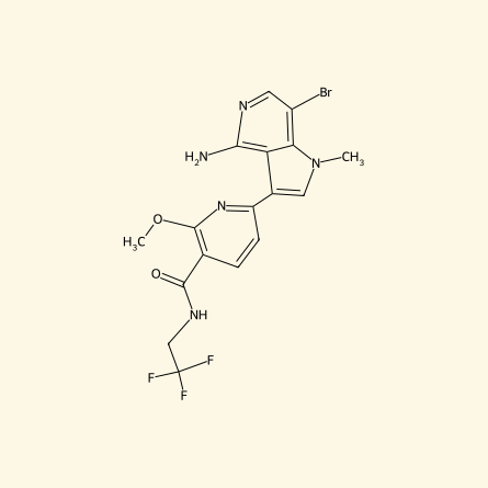 COc1nc(-c2cn(C)c3c(Br)cnc(N)c23)ccc1C(=O)NCC(F)(F)F